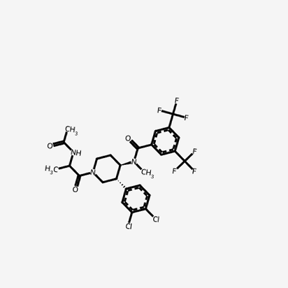 CC(=O)NC(C)C(=O)N1CC[C@@H](N(C)C(=O)c2cc(C(F)(F)F)cc(C(F)(F)F)c2)[C@H](c2ccc(Cl)c(Cl)c2)C1